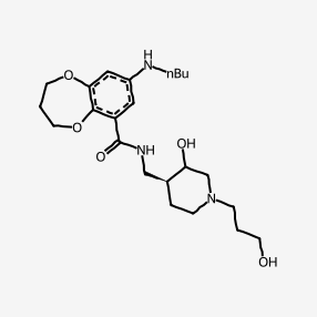 CCCCNc1cc2c(c(C(=O)NC[C@@H]3CCN(CCCO)CC3O)c1)OCCCO2